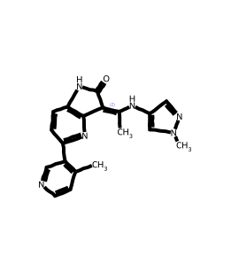 C/C(Nc1cnn(C)c1)=C1/C(=O)Nc2ccc(-c3cnccc3C)nc21